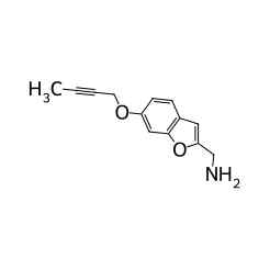 CC#CCOc1ccc2cc(CN)oc2c1